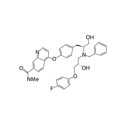 CNC(=O)c1ccc2c(Oc3ccc(C[C@@H](CO)N(Cc4ccccc4)C[C@H](O)COc4ccc(F)cc4)cc3)ccnc2c1